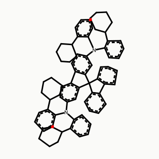 c1ccc2c(c1)-c1ccccc1C21c2cc(N(c3ccccc3C3CCCCC3)c3ccccc3C3CCCCC3)ccc2-c2ccc(N(c3ccccc3C3CCCCC3)c3ccccc3C3CCCCC3)cc21